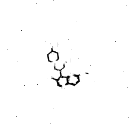 COc1ccc2ncc(Cl)c(C(CO)CN3CCC(N)CC3)c2n1